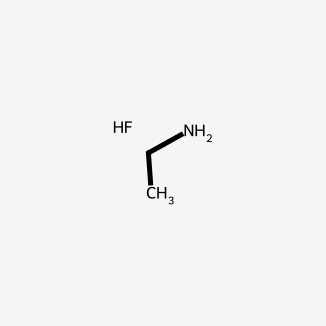 CCN.F